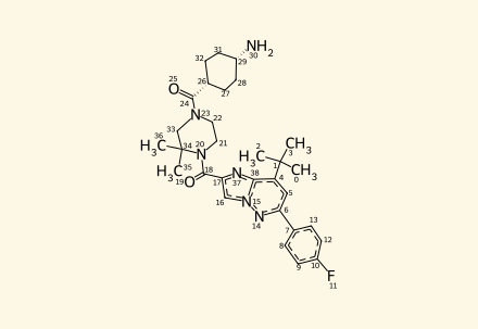 CC(C)(C)c1cc(-c2ccc(F)cc2)nn2cc(C(=O)N3CCN(C(=O)[C@H]4CC[C@@H](N)CC4)CC3(C)C)nc12